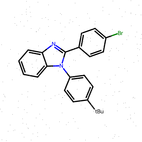 CC(C)(C)c1ccc(-n2c(-c3ccc(Br)cc3)nc3ccccc32)cc1